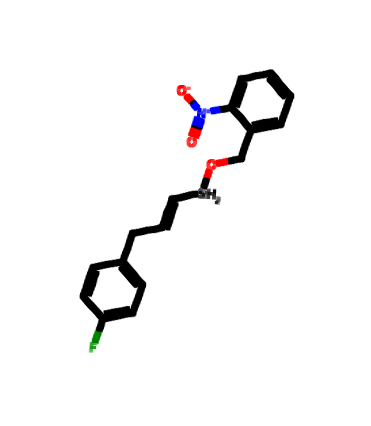 O=[N+]([O-])c1ccccc1CO[SiH2]C=CCc1ccc(F)cc1